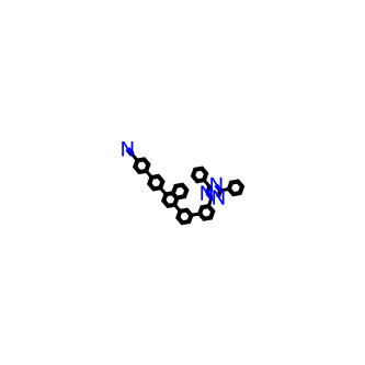 N#Cc1ccc(-c2ccc(-c3ccc(-c4cccc(-c5cccc(-c6nc(-c7ccccc7)nc(-c7ccccc7)n6)c5)c4)c4ccccc34)cc2)cc1